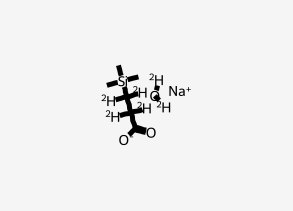 [2H]C([2H])(C(=O)[O-])C([2H])([2H])[Si](C)(C)C.[2H]O[2H].[Na+]